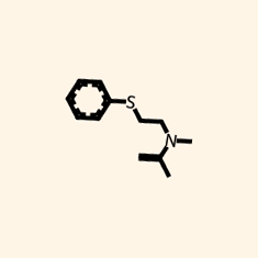 C=C(C)N(C)CCSc1ccccc1